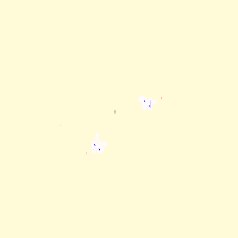 CON=Cc1cc([N+](=O)[O-])c(Br)cc1C